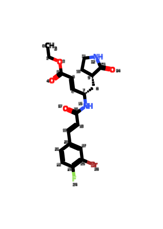 CCOC(=O)C=C[C@H](C[C@@H]1CCNC1=O)NC(=O)C=Cc1ccc(F)c(Br)c1